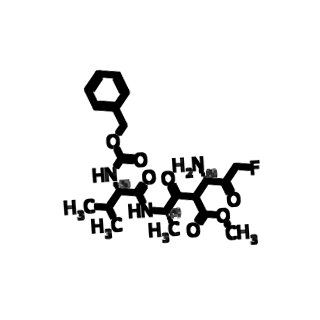 COC(=O)C(C(=O)[C@H](C)NC(=O)[C@@H](NC(=O)OCc1ccccc1)C(C)C)[C@H](N)C(=O)CF